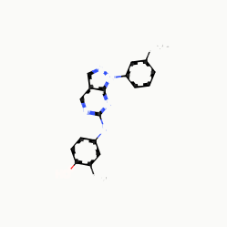 COc1cccc(-n2ncc3cnc(Nc4ccc(O)c(OC)c4)nc32)c1